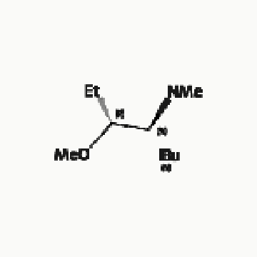 [CH2]C[C@H](C)[C@H](NC)[C@@H](C[CH2])OC